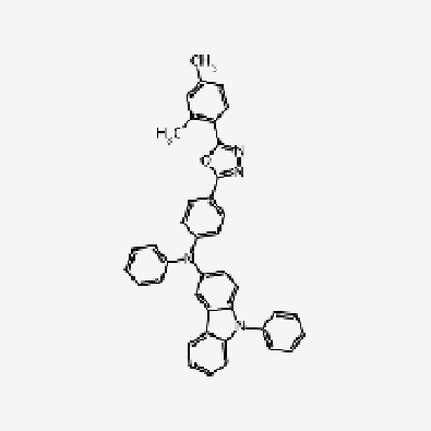 Cc1ccc(-c2nnc(-c3ccc(N(c4ccccc4)c4ccc5c(c4)c4ccccc4n5-c4ccccc4)cc3)o2)c(C)c1